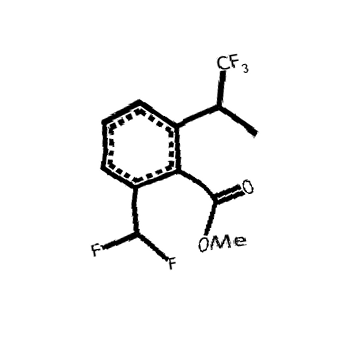 COC(=O)c1c(C(F)F)cccc1C(C)C(F)(F)F